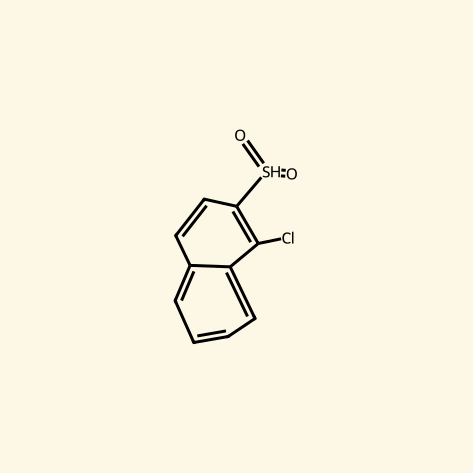 O=[SH](=O)c1ccc2ccccc2c1Cl